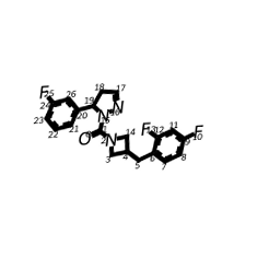 O=C(N1CC(Cc2ccc(F)cc2F)C1)N1N=CCC1c1cccc(F)c1